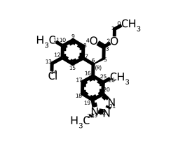 CCOC(=O)C[C@H](c1ccc(C)c(CCl)c1)c1ccc2c(nnn2C)c1C